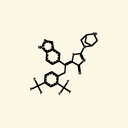 O=C1N=C(N2CC3CC2CN3)SC1=C(Cc1ccc(C(F)(F)F)cc1C(F)(F)F)c1ccc2[nH]ncc2c1